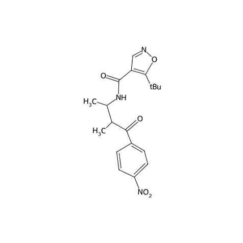 CC(NC(=O)c1cnoc1C(C)(C)C)C(C)C(=O)c1ccc([N+](=O)[O-])cc1